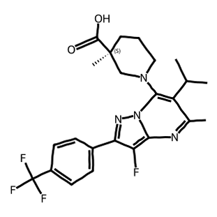 Cc1nc2c(F)c(-c3ccc(C(F)(F)F)cc3)nn2c(N2CCC[C@](C)(C(=O)O)C2)c1C(C)C